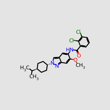 COc1cc2nn([C@H]3CC[C@H](C(C)C)CC3)cc2cc1NC(=O)c1cccc(Cl)c1Cl